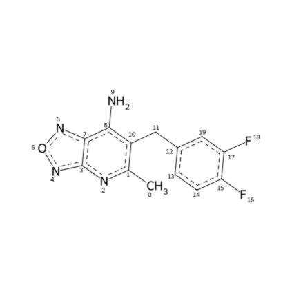 Cc1nc2nonc2c(N)c1Cc1ccc(F)c(F)c1